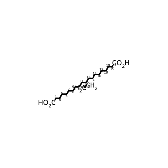 C=C.O=C(O)CCCCCCCCCCCCCCCCCCC(=O)O